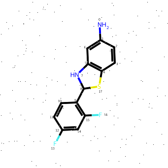 Nc1ccc2c(c1)NC(c1ccc(F)cc1F)S2